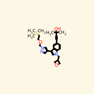 CC(C)(O)C#Cc1ccc2c(c1)c(-c1cnn(COCCS(C)(C)C)c1)cn2CC1COC1